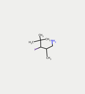 CC(CN)C(I)C(C)(C)C